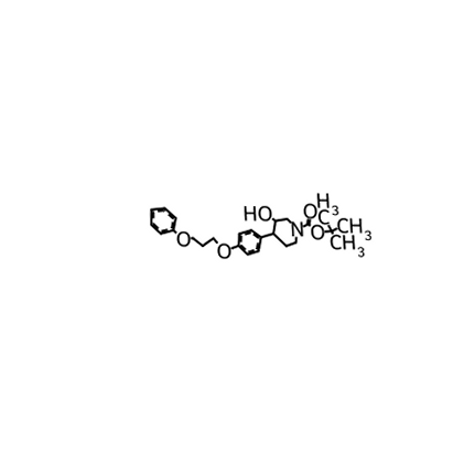 CC(C)(C)OC(=O)N1CCC(c2ccc(OCCCOc3ccccc3)cc2)C(O)C1